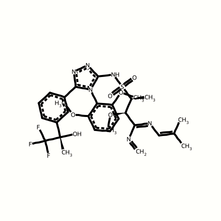 C=N/C(=N\C=C(C)C)[C@@H](OC)[C@H](C)S(=O)(=O)Nc1nnc(-c2cccc([C@](C)(O)C(F)(F)F)c2)n1-c1c(OC)cccc1OC